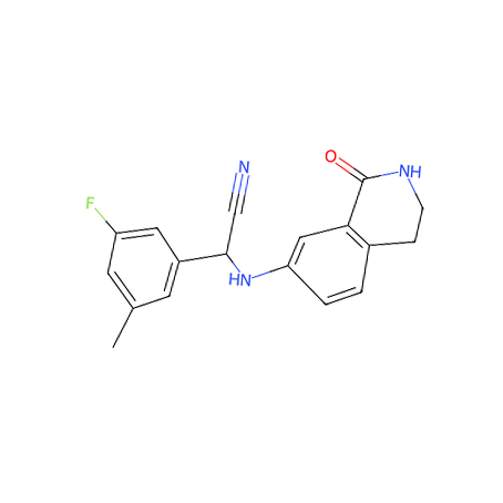 Cc1cc(F)cc(C(C#N)Nc2ccc3c(c2)C(=O)NCC3)c1